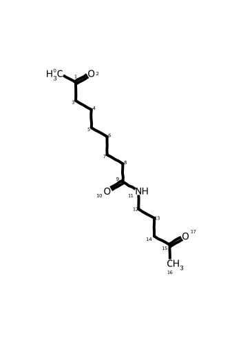 CC(=O)CCCCCCC(=O)NCCCC(C)=O